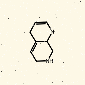 C1=C[N]C2CNCC=C2C1